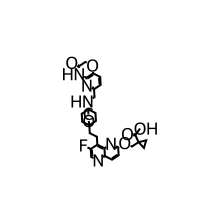 O=C1COc2ccc(CNC34CCC(CCc5c(F)cnc6ccc(OCC7(C(=O)O)CC7)nc56)(CC3)OC4)nc2N1